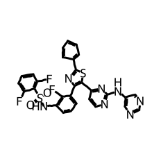 O=S(=O)(Nc1cccc(-c2nc(-c3ccccc3)sc2-c2ccnc(Nc3cncnc3)n2)c1F)c1c(F)cccc1F